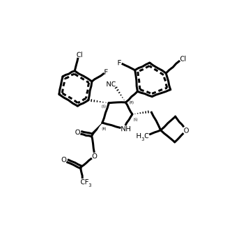 CC1(C[C@@H]2N[C@@H](C(=O)OC(=O)C(F)(F)F)[C@H](c3cccc(Cl)c3F)[C@@]2(C#N)c2ccc(Cl)cc2F)COC1